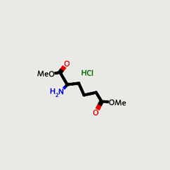 COC(=O)CCCC(N)C(=O)OC.Cl